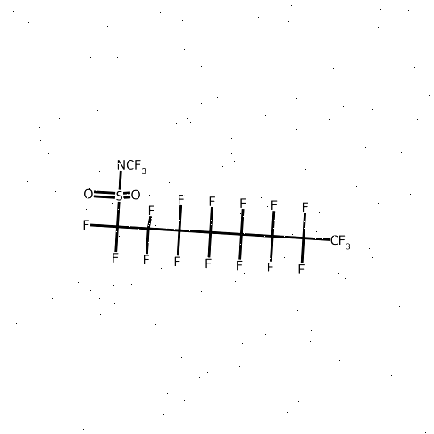 O=S(=O)(NC(F)(F)F)C(F)(F)C(F)(F)C(F)(F)C(F)(F)C(F)(F)C(F)(F)C(F)(F)C(F)(F)F